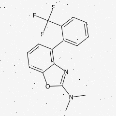 CN(C)c1nc2c(-c3ccccc3C(F)(F)F)cccc2o1